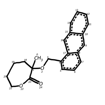 CC1(OCc2cccc3cc4ccccc4cc23)CCCCOC1=O